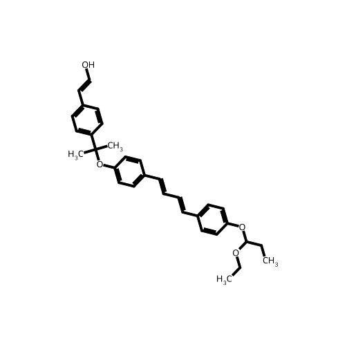 CCOC(CC)Oc1ccc(C=CC=Cc2ccc(OC(C)(C)c3ccc(C=CO)cc3)cc2)cc1